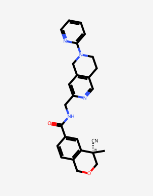 C[C@@]1(C#N)COCc2ccc(C(=O)NCc3cc4c(cn3)CCN(c3ccccn3)C4)cc21